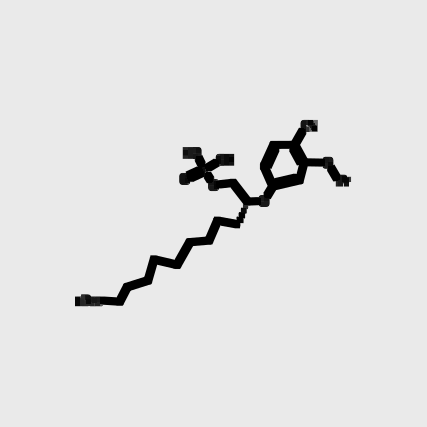 CCCCCCCCCCCCCCCCCCC[C@H](COP(=O)(O)O)Oc1ccc(C#N)c(OC(C)C)c1